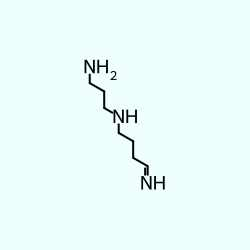 N=CCCCNCCCN